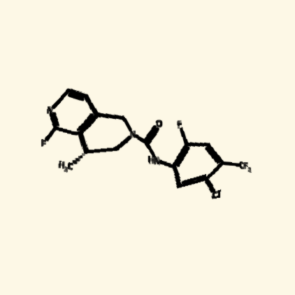 C[C@H]1CN(C(=O)Nc2cc(Cl)c(C(F)(F)F)cc2F)Cc2ccnc(F)c21